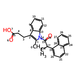 Cc1c(CCC(=O)O)c2ccccc2n1C(=O)C(C)c1cccc2ccccc12